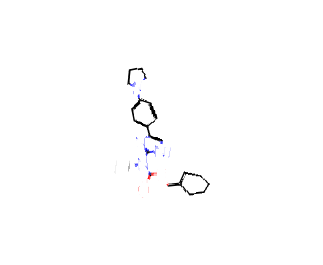 CCN(C(=O)OCC1CCCCC1)c1nc(-c2ccc(N3CCCC3)cc2)c[nH]1